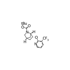 CC(C)(C)OC(=O)N1C[C@H]2C[C@@H](Oc3ncccc3C(F)(F)F)[C@@H]1C2